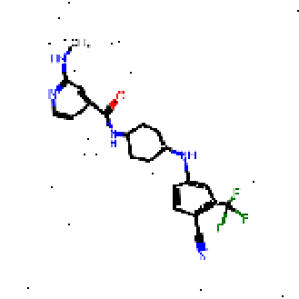 CNc1cc(C(=O)NC2CCC(Nc3ccc(C#N)c(C(F)(F)F)c3)CC2)ccn1